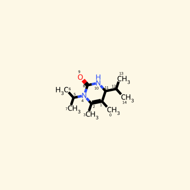 CC1=C(C)N(C(C)C)C(=O)NC1C(C)C